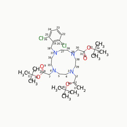 C=C(CN1CCN(CC(=O)OC(C)(C)C)CCN(Cc2c(Cl)cccc2Cl)CCN(CC(=O)OC(C)(C)C)CC1)OC(C)(C)C